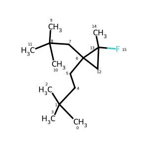 CC(C)(C)CCC1(CC(C)(C)C)CC1(C)F